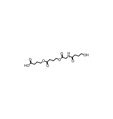 O=C(O)CCCOC(=O)CCCOC(=O)CNC(=O)CCCO